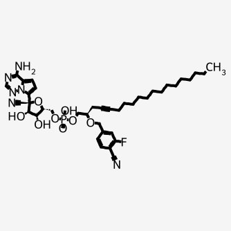 CCCCCCCCCCCCCCC#CC[C@H](COP(=O)(O)OC[C@H]1O[C@@](C#N)(c2ccc3c(N)ncnn23)[C@H](O)[C@@H]1O)OCc1ccc(C#N)c(F)c1